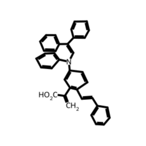 C=C(C(=O)O)c1cc(N(C=C(c2ccccc2)c2ccccc2)c2ccccc2)ccc1C=Cc1ccccc1